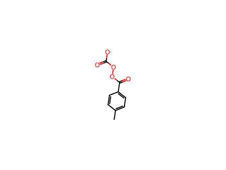 Cc1ccc(C(=O)OOC([O])=O)cc1